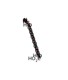 Cc1nnc(-c2ccc(CNC(=O)CCOCCOCCOCCOCCOCCOCCOCCOCCOCCOCCOCCOCCNC(=O)CCC(=O)O)cc2)nn1